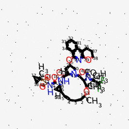 C[C@@H]1CC/C=C\[C@@H]2C[C@@]2(C(=O)NS(=O)(=O)C2(C)CC2)NC(=O)[C@@H]2C[C@@H](Oc3nc4c(c5ccccc35)CCCO4)CN2C(=O)[C@@H](N(C(=O)O)C(C)(C)C(F)F)[C@H](C)O1